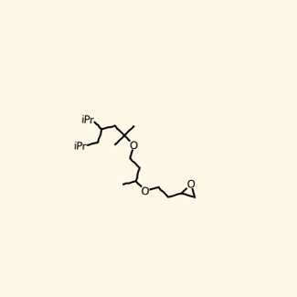 CC(C)CC(CC(C)(C)OCCC(C)OCCC1CO1)C(C)C